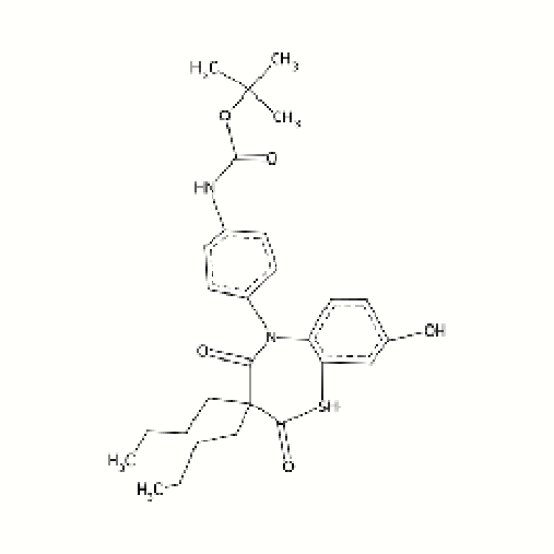 CCCCC1(CCCC)C(=O)[SH]c2cc(O)ccc2N(c2ccc(NC(=O)OC(C)(C)C)cc2)C1=O